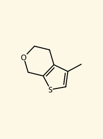 Cc1csc2c1CCOC2